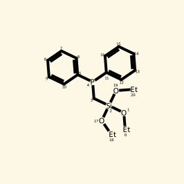 CCO[Si](CP(c1ccccc1)c1ccccc1)(OCC)OCC